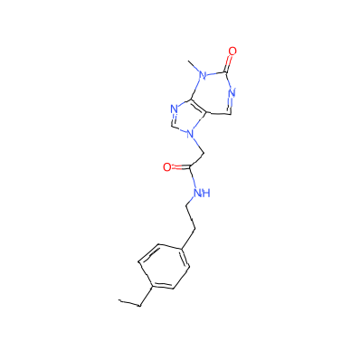 CCc1ccc(CCNC(=O)Cn2cnc3c2cnc(=O)n3C)cc1